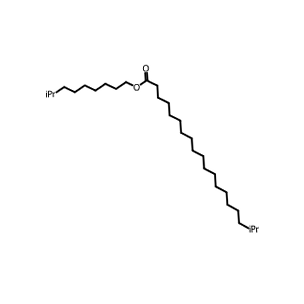 CC(C)CCCCCCCCCCCCCCCCC(=O)OCCCCCCCC(C)C